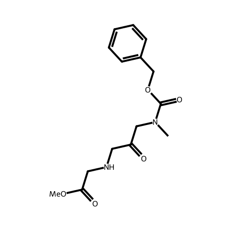 COC(=O)CNCC(=O)CN(C)C(=O)OCc1ccccc1